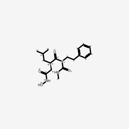 CNC(=O)N(CCc1ccccc1)C(=O)[C@@H](CC(=O)NO)CC(C)C